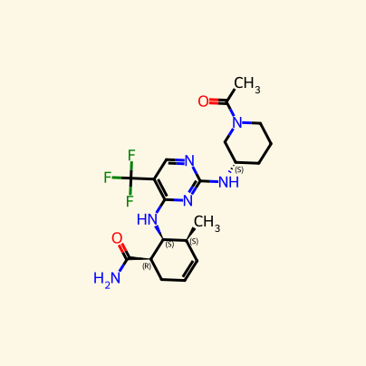 CC(=O)N1CCC[C@H](Nc2ncc(C(F)(F)F)c(N[C@H]3[C@@H](C)C=CC[C@H]3C(N)=O)n2)C1